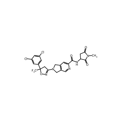 CN1C(=O)CC(NC(=O)c2cc3c(cn2)CN(C2=NOC(c4cc(Cl)cc(Cl)c4)(C(F)(F)F)C2)C3)C1=O